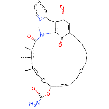 CC1=CCC(OC(N)=O)C=CCCCCCCC2=CC(=O)C(c3ccccn3)=C(C2=O)N(C)C(=O)C(C)=C1C